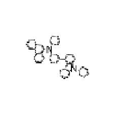 c1ccc(N(c2cccc(-c3cccc4c3c3ccccc3n4-c3ccccc3)c2)c2cc3ccccc3c3ccccc23)cc1